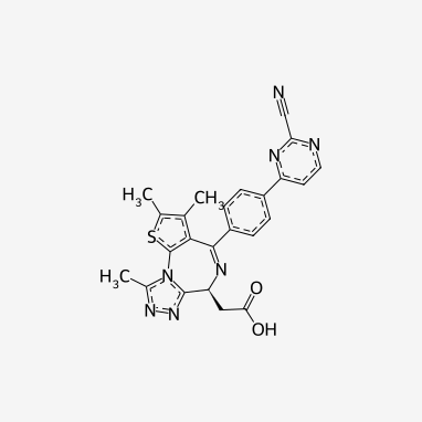 Cc1sc2c(c1C)C(c1ccc(-c3ccnc(C#N)n3)cc1)=N[C@@H](CC(=O)O)c1nnc(C)n1-2